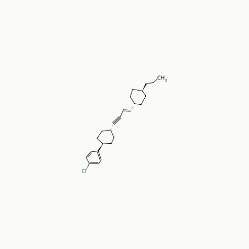 CCC[C@H]1CC[C@H](/C=C/C#C[C@H]2CC[C@H](c3ccc(Cl)cc3)CC2)CC1